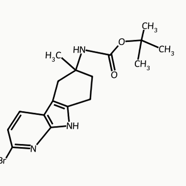 CC1(NC(=O)OC(C)(C)C)CCc2[nH]c3nc(Br)ccc3c2C1